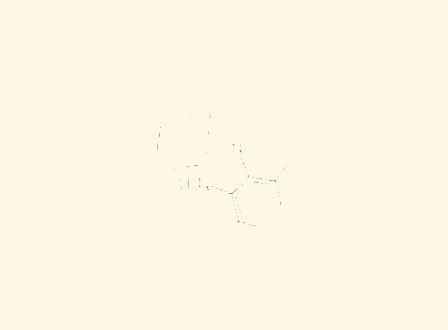 Cc1ccc(C)c(N)c1N.O=[PH]1OCCCCO1